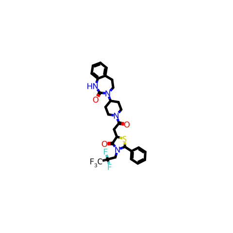 O=C(CC1SC(c2ccccc2)N(CC(F)(F)C(F)(F)F)C1=O)N1CCC(N2CCc3ccccc3NC2=O)CC1